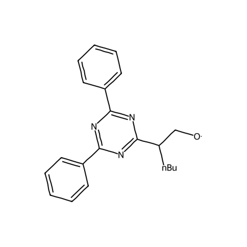 CCCCC(C[O])c1nc(-c2ccccc2)nc(-c2ccccc2)n1